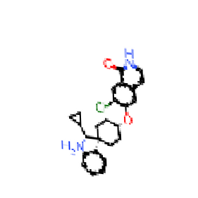 N[C@H](C1CC1)[C@]1(c2ccccc2)CC[C@@H](Oc2cc3cc[nH]c(=O)c3cc2Cl)CC1